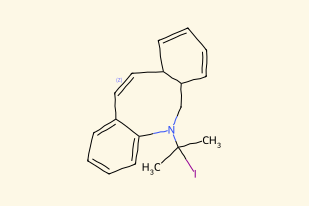 CC(C)(I)N1CC2C=CC=CC2/C=C\c2ccccc21